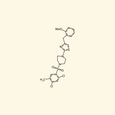 COc1ccccc1Cc1csc(N2CCN(S(=O)(=O)c3cc(C)c(Cl)cc3Cl)CC2)n1